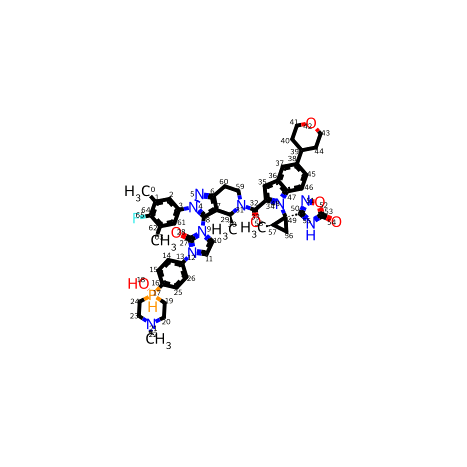 Cc1cc(-n2nc3c(c2-n2ccn(-c4ccc([PH]5(O)CCN(C)CC5)cc4)c2=O)[C@H](C)N(C(=O)c2cc4cc(C5CCOCC5)ccc4n2[C@@]2(c4noc(=O)[nH]4)C[C@@H]2C)CC3)cc(C)c1F